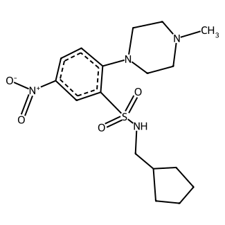 CN1CCN(c2ccc([N+](=O)[O-])cc2S(=O)(=O)NCC2CCCC2)CC1